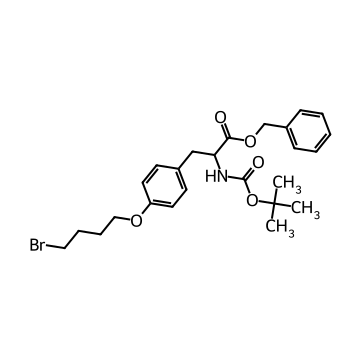 CC(C)(C)OC(=O)NC(Cc1ccc(OCCCCBr)cc1)C(=O)OCc1ccccc1